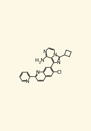 Nc1nccn2c(C3CCC3)nc(-c3cc4nc(-c5ccccn5)ccc4cc3Cl)c12